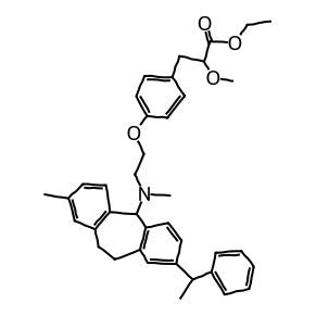 CCOC(=O)C(Cc1ccc(OCCN(C)C2c3ccc(C)cc3CCc3cc(C(C)c4ccccc4)ccc32)cc1)OC